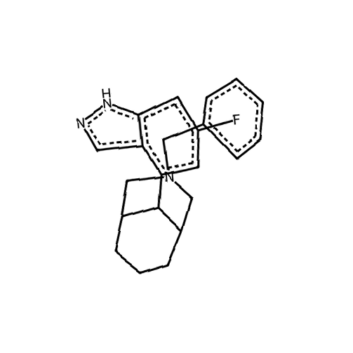 Fc1cc(C2C3CCCC2CN(Cc2ccccc2)C3)c2cn[nH]c2c1